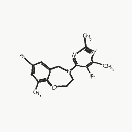 Cc1nc(C)c(C(C)C)c(N2CCOc3c(C)cc(Br)cc3C2)n1